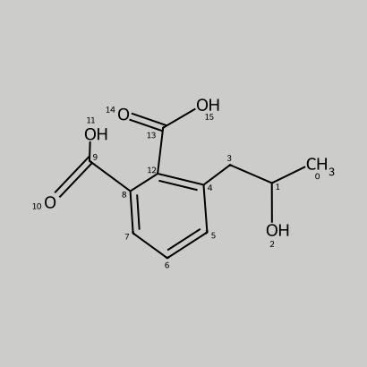 CC(O)Cc1cccc(C(=O)O)c1C(=O)O